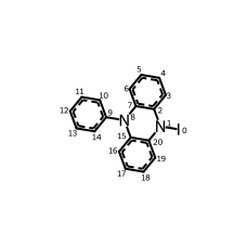 IN1c2ccccc2N(c2ccccc2)c2ccccc21